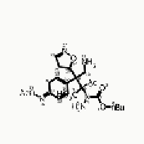 CCCCOC(=O)N(N)[C@](C(C)=O)(C(=O)O)C(CN)(C1=CCC(=NOC(C)=O)C=C1)C1CC=NO1